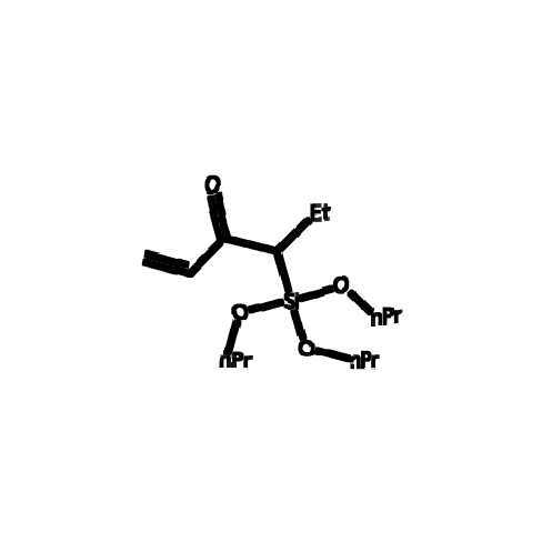 C=CC(=O)C(CC)[Si](OCCC)(OCCC)OCCC